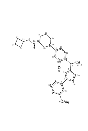 COc1cncc(-c2cc(C(C)n3ccc(N4CCC[C@@H](NCC5CCC5)C4)cc3=O)sn2)c1